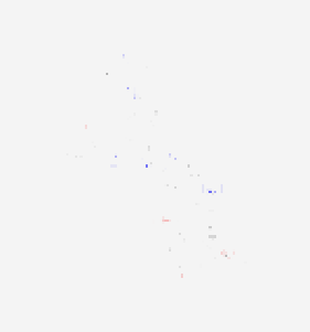 C=CC(=O)Nc1cc(N2CCN(CC)CC2)ccc1Nc1cc2c(C(=O)c3c(F)c(OC)cc(OC)c3F)c[nH]c2cn1